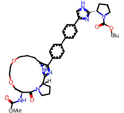 COC(=O)N[C@H]1COCCOCCCc2[nH]c(nc2-c2ccc(-c3ccc(-c4c[nH]c([C@@H]5CCCN5C(=O)OC(C)(C)C)n4)cc3)cc2)[C@@H]2CCCN2C1=O